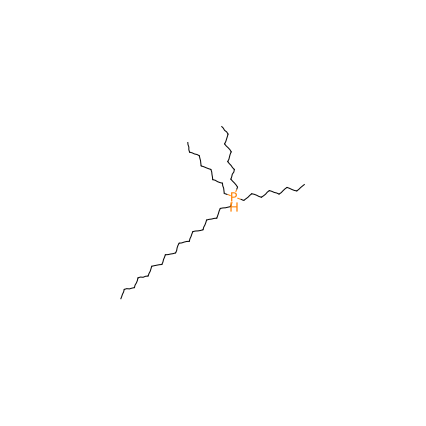 CCCCCCCCCCCCCCCCC[PH](CCCCCCCC)(CCCCCCCC)CCCCCCCC